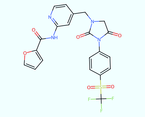 O=C(Nc1cc(CN2CC(=O)N(c3ccc(S(=O)(=O)C(F)(F)F)cc3)C2=O)ccn1)c1ccco1